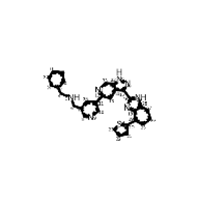 c1ccc(CNCc2cncc(-c3cc4c(-c5nc6c(-c7cccs7)cccc6[nH]5)n[nH]c4cn3)c2)cc1